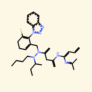 C=C/C=C(\N=C(C)C)NC(=C)CC(=C)N(CC1=CCCC(F)=C1n1nnc2ccccc21)N(CCCC)C(C)CC